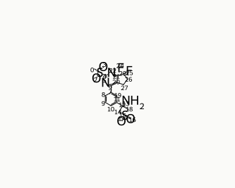 CS(=O)(=O)c1nc(-c2cccc(C3(N)CS(=O)(=O)C3)c2)c2c(n1)C(F)(F)CC2